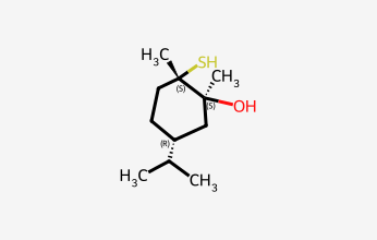 CC(C)[C@@H]1CC[C@](C)(S)[C@@](C)(O)C1